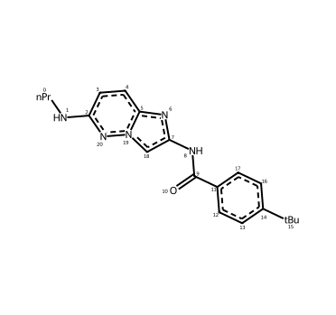 CCCNc1ccc2nc(NC(=O)c3ccc(C(C)(C)C)cc3)cn2n1